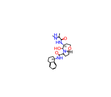 CN[C@@H](C)C(=O)N[C@H]1CCO[C@H]2CC[C@@H](C(=O)N[C@@H]3CCCc4ccccc43)N2C1O